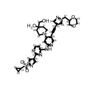 CC1(CO)CCN(c2cc(Nc3ccnc(-c4cnn(S(=O)(=O)C5CC5)c4)n3)ncc2C#Cc2cnn(CC3COCCO3)c2)CC1